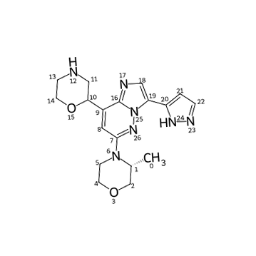 C[C@@H]1COCCN1c1cc(C2CNCCO2)c2ncc(-c3ccn[nH]3)n2n1